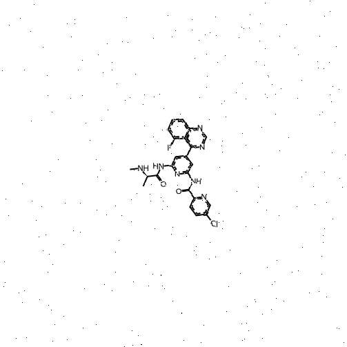 CNC(C)C(=O)Nc1cc(-c2ncnc3cccc(F)c23)cc(NC(=O)c2ccc(Cl)cn2)n1